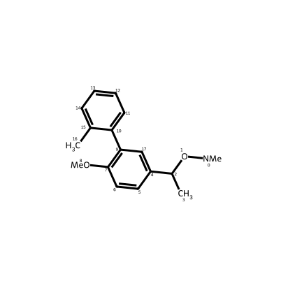 CNOC(C)c1ccc(OC)c(-c2ccccc2C)c1